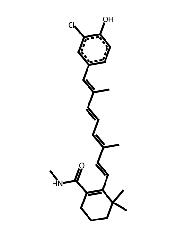 CNC(=O)C1=C(/C=C/C(C)=C/C=C/C(C)=C/c2ccc(O)c(Cl)c2)C(C)(C)CCC1